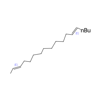 C/C=C/CCCCCCCCC/C=C/CCCC